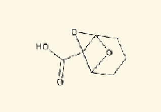 O=C(O)C12OC13CCCC2O3